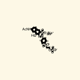 CC(=O)Nc1ccc2cc(S(=O)(=O)[O-])c(/N=N/c3ccc(S(=O)(=O)CCOS(=O)(=O)[O-])cc3)c(O)c2c1.[Na+].[Na+]